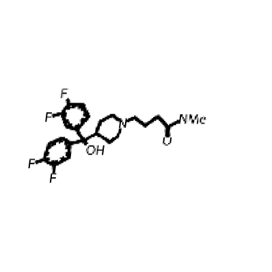 CNC(=O)CCCN1CCC(C(O)(c2ccc(F)c(F)c2)c2ccc(F)c(F)c2)CC1